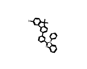 CC1(C)c2ccc(Br)cc2-c2cc(-c3cccc(-c4nc5ccccc5n4-c4ccccc4)c3)ccc21